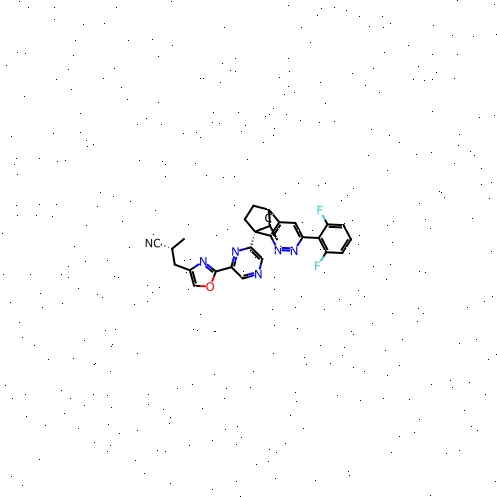 C[C@@H](C#N)Cc1coc(-c2cncc([C@]34CCC5(CC53C)c3cc(-c5c(F)cccc5F)nnc34)n2)n1